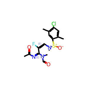 CC(=O)/N=C(\C(F)=C/N(C)[S+]([O-])c1cc(C)c(Cl)cc1C)N(C)C=O